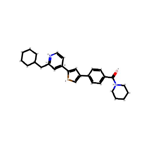 O=C(c1ccc(-c2csc(-c3ccnc(CC4CCCCC4)c3)c2)cc1)N1CCCCC1